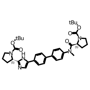 CN(C(=O)[C@@H]1CCCN1C(=O)OC(C)(C)C)c1ccc(-c2ccc(-c3cnc([C@@H]4CCCN4C(=O)OC(C)(C)C)[nH]3)cc2)cc1